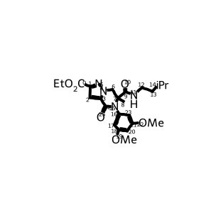 CCOC(=O)c1cc2n(n1)CC(C)(C(=O)NCCC(C)C)N(c1cc(OC)cc(OC)c1)C2=O